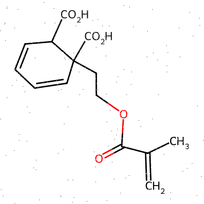 C=C(C)C(=O)OCCC1(C(=O)O)C=CC=CC1C(=O)O